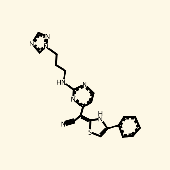 N#CC(=C1NC(c2ccccc2)=CS1)c1ccnc(NCCCn2cncn2)n1